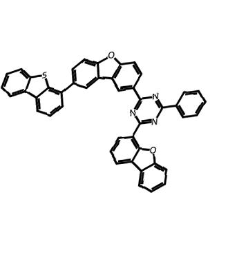 c1ccc(-c2nc(-c3ccc4oc5ccc(-c6cccc7c6sc6ccccc67)cc5c4c3)nc(-c3cccc4c3oc3ccccc34)n2)cc1